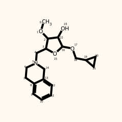 COC1C(CN2CCc3ccccc3C2)OC(OCC2CC2)C1O